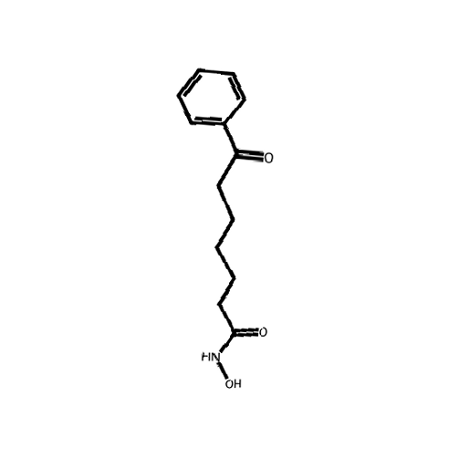 O=C(CCCCCC(=O)c1ccccc1)NO